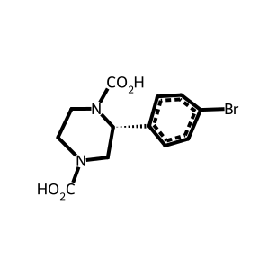 O=C(O)N1CCN(C(=O)O)[C@H](c2ccc(Br)cc2)C1